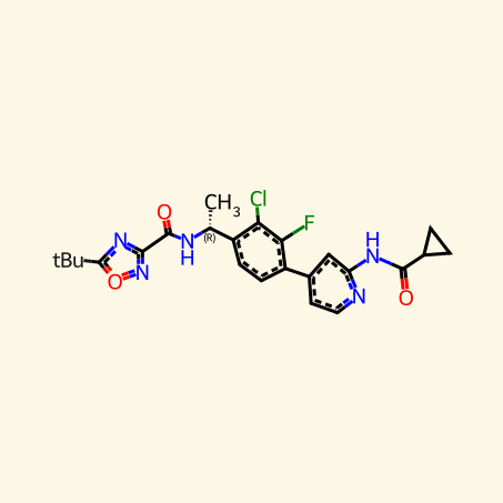 C[C@@H](NC(=O)c1noc(C(C)(C)C)n1)c1ccc(-c2ccnc(NC(=O)C3CC3)c2)c(F)c1Cl